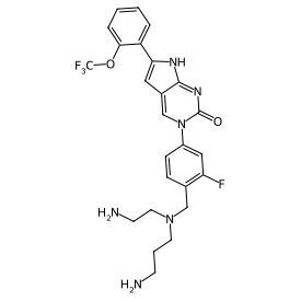 NCCCN(CCN)Cc1ccc(-n2cc3cc(-c4ccccc4OC(F)(F)F)[nH]c3nc2=O)cc1F